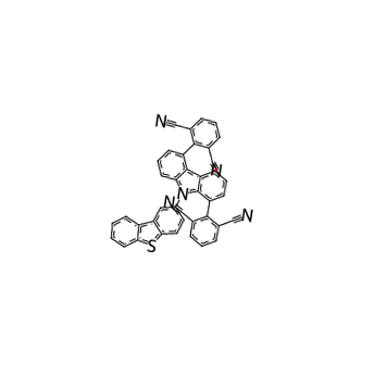 N#Cc1cccc(C#N)c1-c1cccc2c1c1cccc(-c3c(C#N)cccc3C#N)c1n2-c1ccc2sc3ccccc3c2c1